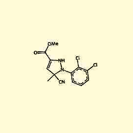 COC(=O)C1=CC(C)(C#N)N(c2cccc(Cl)c2Cl)N1